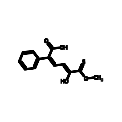 COC(=S)C(O)=CC=C(C(=O)O)c1ccccc1